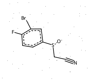 N#CC[S+]([O-])c1ccc(F)c(Br)c1